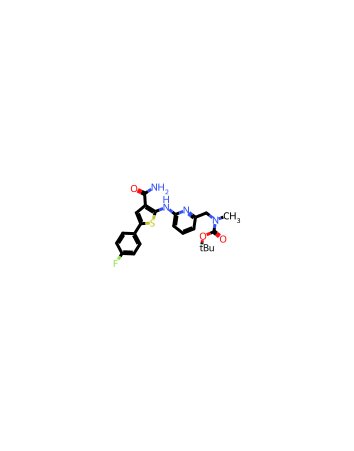 CN(Cc1cccc(Nc2sc(-c3ccc(F)cc3)cc2C(N)=O)n1)C(=O)OC(C)(C)C